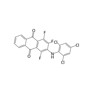 O=C1c2ccccc2C(=O)c2c(F)c(Nc3c(Cl)cc(Cl)cc3Cl)c(F)c(F)c21